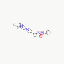 CN1CCC(N2CCC(c3cccc(NC(=O)OCc4ccccc4)c3)CC2)CC1